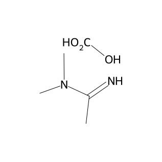 CC(=N)N(C)C.O=C(O)O